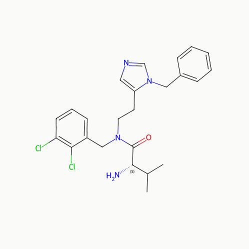 CC(C)[C@H](N)C(=O)N(CCc1cncn1Cc1ccccc1)Cc1cccc(Cl)c1Cl